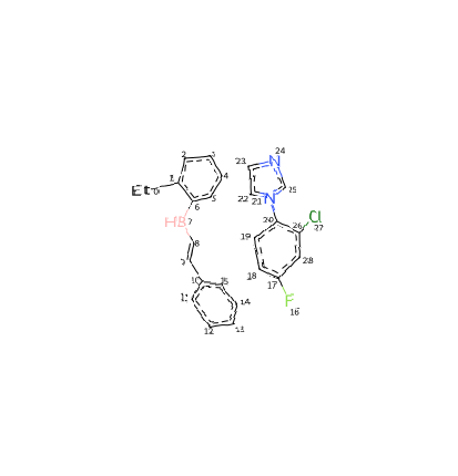 CCc1ccccc1BC=Cc1ccccc1.Fc1ccc(-n2ccnc2)c(Cl)c1